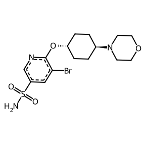 NS(=O)(=O)c1cnc(O[C@H]2CC[C@H](N3CCOCC3)CC2)c(Br)c1